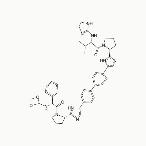 CC(C)[C@H](NC1=NCCN1)C(=O)N1CCC[C@H]1c1ncc(-c2ccc(-c3ccc(-c4cnc([C@@H]5CCCN5C(=O)[C@H](NC5OCO5)c5ccccc5)[nH]4)cc3)cc2)[nH]1